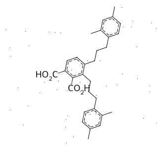 Cc1ccc(CCCc2ccc(C(=O)O)c(C(=O)O)c2CCCc2ccc(C)cc2C)c(C)c1